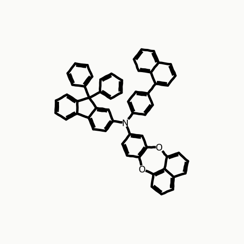 c1ccc(C2(c3ccccc3)c3ccccc3-c3ccc(N(c4ccc(-c5cccc6ccccc56)cc4)c4ccc5c(c4)Oc4cccc6cccc(c46)O5)cc32)cc1